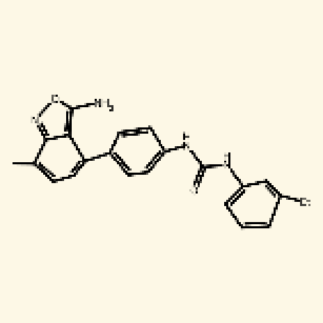 CCc1cccc(NC(=O)Nc2ccc(-c3ccc(C)c4noc(N)c34)cc2)c1